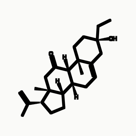 C=C(C)[C@H]1CC[C@H]2[C@@H]3CC=C4C[C@](O)(CC)CC[C@]4(C)[C@H]3C(=O)C[C@]12C